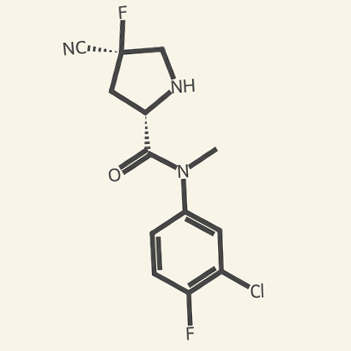 CN(C(=O)[C@@H]1C[C@](F)(C#N)CN1)c1ccc(F)c(Cl)c1